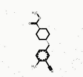 COC(=O)[C@H]1CC[C@H](Cc2ccc(C)c(C#N)c2)CC1